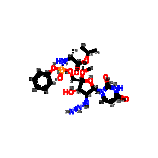 CO[C@]1(CO[P@](=O)(N[C@H](C)C(=O)OC(C)C)Oc2ccccc2)OC(n2ccc(=O)[nH]c2=O)C(N=[N+]=[N-])[C@@H]1O